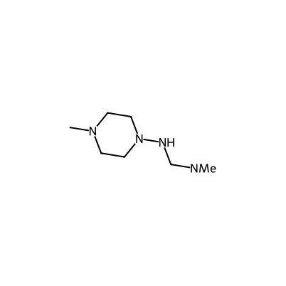 CNCNN1CCN(C)CC1